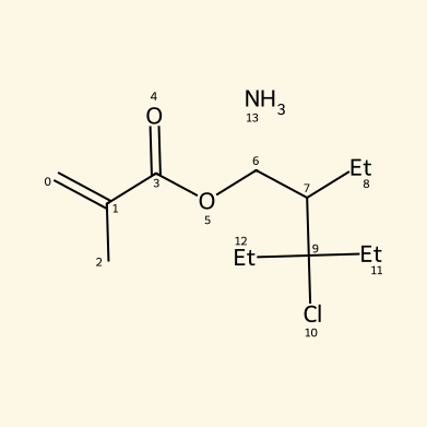 C=C(C)C(=O)OCC(CC)C(Cl)(CC)CC.N